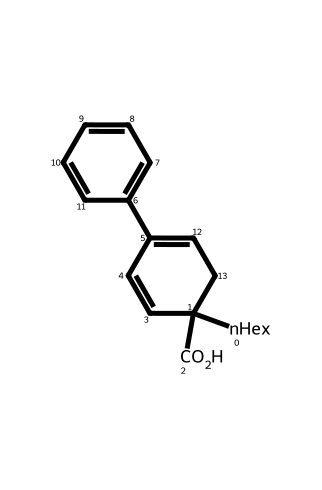 CCCCCCC1(C(=O)O)C=CC(c2ccccc2)=CC1